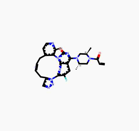 C=CC(=O)N1C[C@H](C)N(c2nc(=O)n3c4nc(c(F)cc24)-n2nncc2C/C=C\Cc2ccnc(C(C)C)c2-3)C[C@H]1C